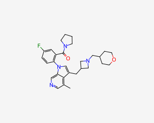 Cc1cncc2c1c(CC1CN(CC3CCOCC3)C1)cn2-c1ccc(F)cc1C(=O)N1CCCC1